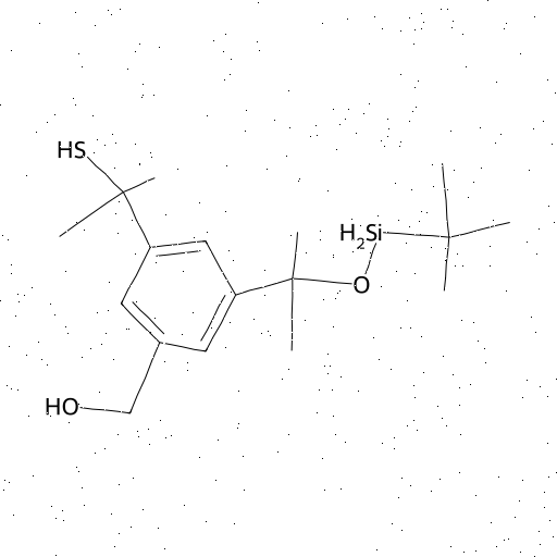 CC(C)(C)[SiH2]OC(C)(C)c1cc(CO)cc(C(C)(C)S)c1